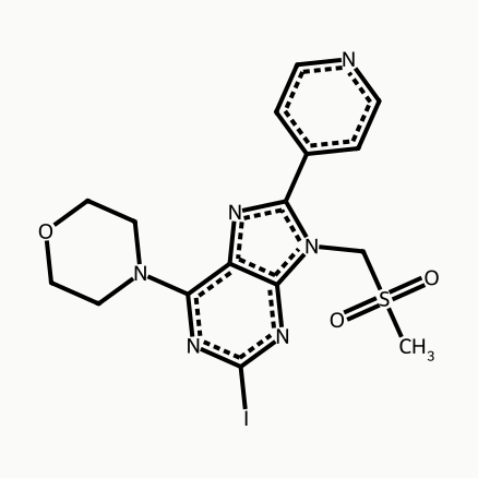 CS(=O)(=O)Cn1c(-c2ccncc2)nc2c(N3CCOCC3)nc(I)nc21